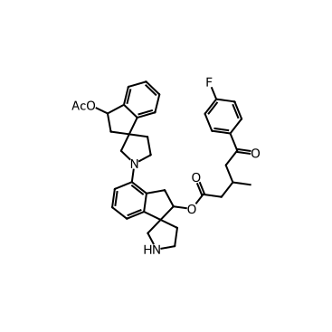 CC(=O)OC1CC2(CCN(c3cccc4c3CC(OC(=O)CC(C)CC(=O)c3ccc(F)cc3)C43CCNC3)C2)c2ccccc21